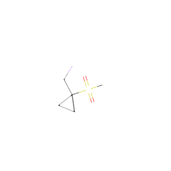 CS(=O)(=O)C1(CI)CC1